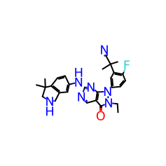 CCn1c(=O)c2cnc(Nc3ccc4c(c3)CNCC4(C)C)nc2n1-c1ccc(F)c(C(C)(C)C#N)c1